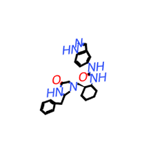 O=C1CN(C[C@@H]2CCCC[C@H]2NC(=O)Nc2ccc3[nH]ncc3c2)CC(Cc2ccccc2)N1